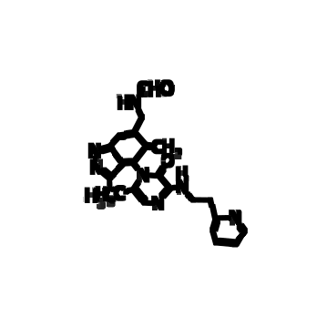 C=c1c(CNC=O)cc2c(c1-n1c(C)cnc(NCCc3ccccn3)c1=O)C(C)=NN=2